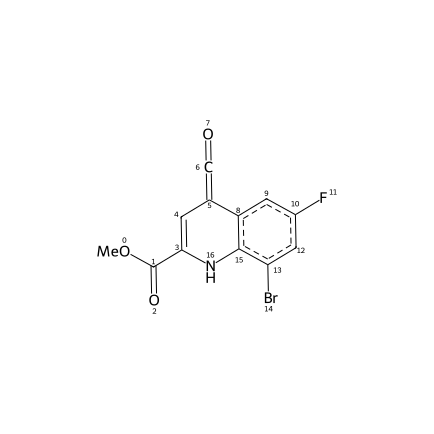 COC(=O)C1=CC(=C=O)c2cc(F)cc(Br)c2N1